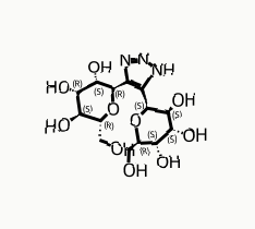 OC[C@H]1O[C@H](c2nn[nH]c2[C@@H]2O[C@H](CO)[C@@H](O)[C@@H](O)[C@@H]2O)[C@@H](O)[C@@H](O)[C@@H]1O